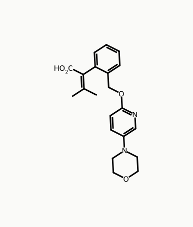 CC(C)=C(C(=O)O)c1ccccc1COc1ccc(N2CCOCC2)cn1